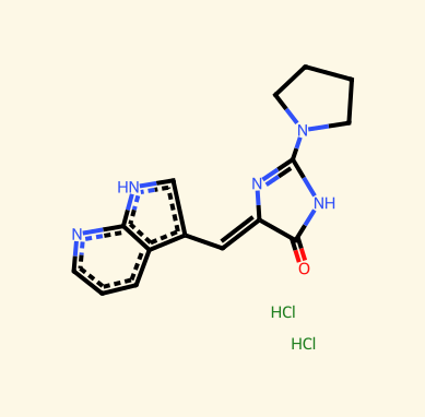 Cl.Cl.O=C1NC(N2CCCC2)=NC1=Cc1c[nH]c2ncccc12